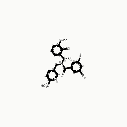 CC[C@@H](c1cccc(OC)c1Cl)N(Cc1ccc(C(=O)O)nc1)C(=O)c1cc(F)cc(F)c1